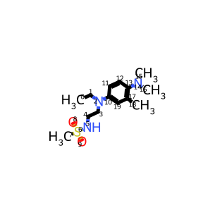 CCN(CCNS(C)(=O)=O)c1ccc(N(C)C)c(C)c1